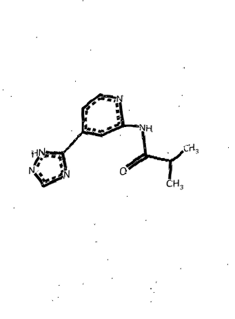 CC(C)C(=O)Nc1cc(-c2ncn[nH]2)ccn1